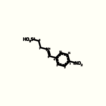 O=[N+]([O-])c1ccc(C=NCCS(=O)(=O)O)cc1